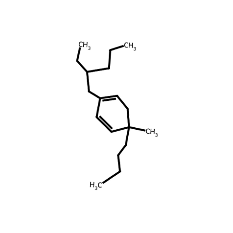 CCCCC1(C)C=CC(CC(CC)CCC)=CC1